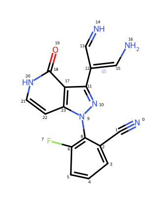 N#Cc1cccc(F)c1-n1nc(/C(C=N)=C/N)c2c(=O)[nH]ccc21